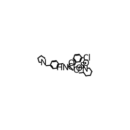 O=C(COCC1CCCCN1S(=O)(=O)c1c(Cl)cccc1Cl)NCc1ccc(CN2CCCC2)cc1